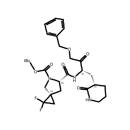 CC(C)(C)OC(=O)N1C[C@]2(C[C@H]1C(=O)N[C@@H](C[C@@H]1CCCNC1=O)C(=O)COCc1ccccc1)CC2(F)F